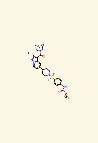 CCN(CC)C(=O)c1c(C)nn2ccc(C3CCN(S(=O)(=O)c4ccc(NC(=O)OC)cc4)CC3)cc12